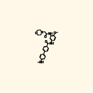 CNc1ccc(-c2ccc(C(=O)Nc3ccc(OC)c(NC(=O)CN4CCOCC4)c3)cc2)cc1